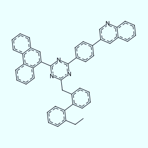 CCc1ccccc1-c1ccccc1Cc1nc(-c2ccc(-c3cnc4ccccc4c3)cc2)nc(-c2cc3ccccc3c3ccccc23)n1